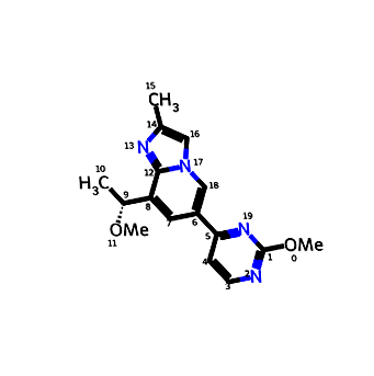 COc1nccc(-c2cc([C@@H](C)OC)c3nc(C)cn3c2)n1